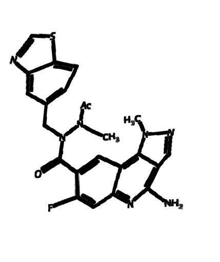 CC(=O)N(C)N(Cc1ccc2scnc2c1)C(=O)c1cc2c(cc1F)nc(N)c1cnn(C)c12